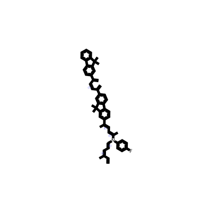 C=C/C(C)=C\C=C\N(/C(C)=C/C=C(\C)c1ccc2c(c1)C(C)(C)c1cc(C(=C)/C=C\C(=C)c3ccc4c(c3)C(C)(C)c3ccccc3-4)ccc1-2)c1ccc(F)cc1